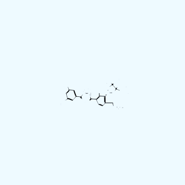 COCc1ccc(C(=O)NN(C(=O)c2cc(C)cc(C)c2)C(C)(C)C)c(P)c1B1OC(C)(C)C(C)(C)O1